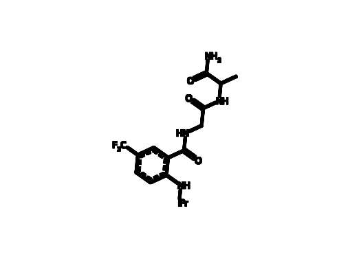 CC(C)Nc1ccc(C(F)(F)F)cc1C(=O)NCC(=O)NC(C)C(N)=O